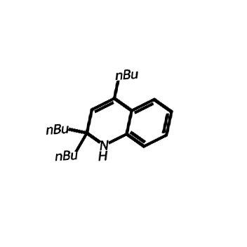 CCCCC1=CC(CCCC)(CCCC)Nc2ccccc21